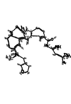 Cc1ccc(C(=O)NC(=N)/C=C(\O)C(C)(C)C)cc1Nc1ncnc2cnc(N(C)CC3CCOC3)nc12